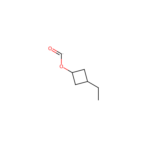 CCC1CC(O[C]=O)C1